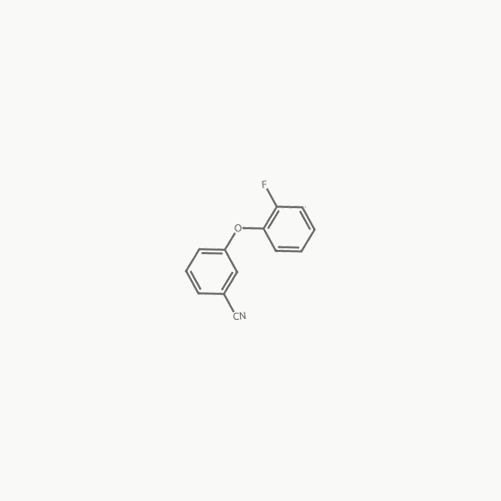 N#Cc1cccc(Oc2ccc[c]c2F)c1